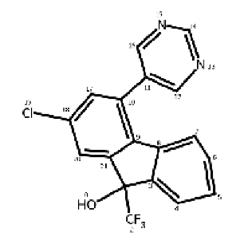 OC1(C(F)(F)F)c2ccccc2-c2c(-c3cncnc3)cc(Cl)cc21